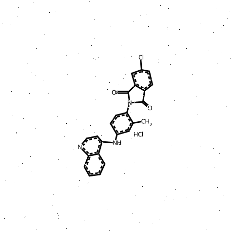 Cc1cc(Nc2ccnc3ccccc23)ccc1N1C(=O)c2ccc(Cl)cc2C1=O.Cl